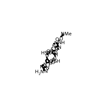 CNCCOC(=O)Nc1ncnc2c1ncn2[C@@H]1O[C@@H]2CO[P@@](=O)(S)O[C@@H]3C(CO[P@@](=O)(S)O[C@H]2[C@H]1F)C[C@@H](n1cnc2c(N)ncnc21)[C@@H]3F